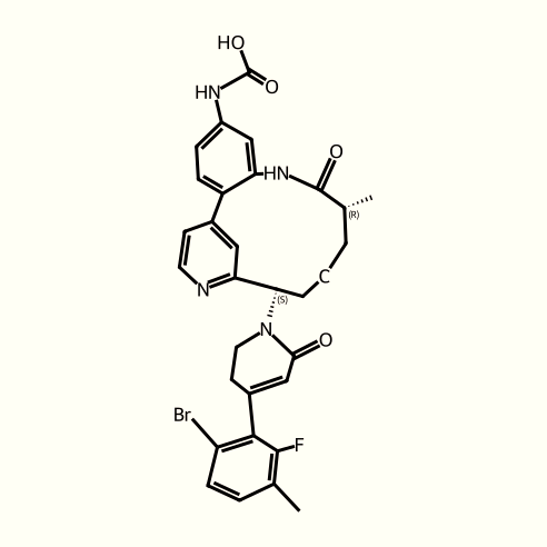 Cc1ccc(Br)c(C2=CC(=O)N([C@H]3CCC[C@@H](C)C(=O)Nc4cc(NC(=O)O)ccc4-c4ccnc3c4)CC2)c1F